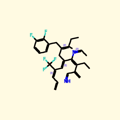 C=C/C=C(\C=C(/C/C(Cc1cccc(F)c1F)=C(\C)CC)C(/N=C\C)=C(CC)C(=C)C=N)C(F)(F)F